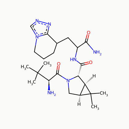 CC(C)(C)[C@H](N)C(=O)N1C[C@H]2[C@@H]([C@H]1C(=O)NC(CC1CCCn3cnnc31)C(N)=O)C2(C)C